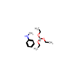 CCO[SiH](OCC)OCC.CNc1ccccc1